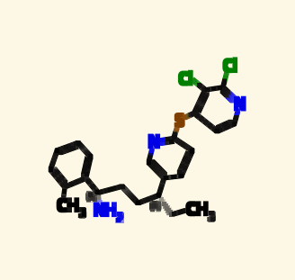 CC[C@H](CC[C@H](N)c1ccccc1C)c1ccc(Sc2ccnc(Cl)c2Cl)nc1